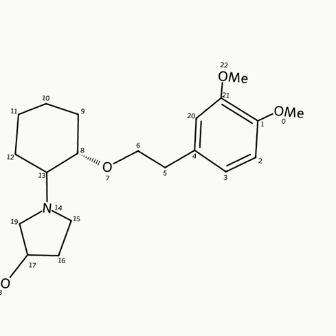 COc1ccc(CCO[C@H]2CCCCC2N2CCC(O)C2)cc1OC